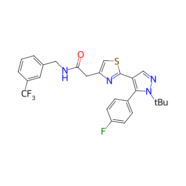 CC(C)(C)n1ncc(-c2nc(CC(=O)NCc3cccc(C(F)(F)F)c3)cs2)c1-c1ccc(F)cc1